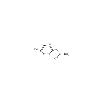 NC(Cl)Cc1ccc(Cl)cc1